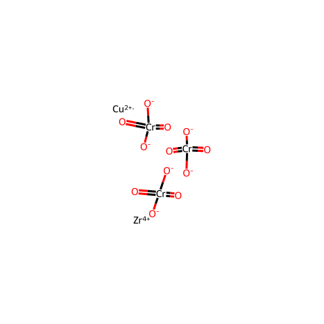 [Cu+2].[O]=[Cr](=[O])([O-])[O-].[O]=[Cr](=[O])([O-])[O-].[O]=[Cr](=[O])([O-])[O-].[Zr+4]